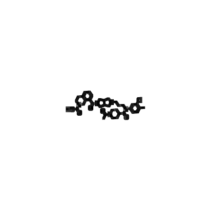 CC(=O)N1CCC(C(=O)N(CCCN2CC3CN(C(=O)c4cccc5c4CN(C(=O)O)CC5)CC3C2)c2ccc(C)c(Cl)c2)CC1